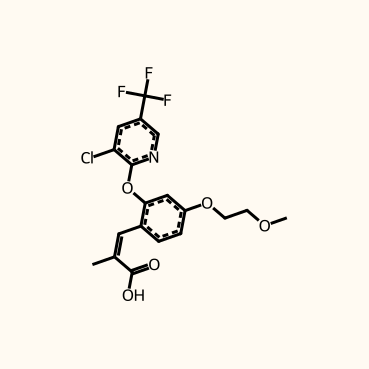 COCCOc1ccc(C=C(C)C(=O)O)c(Oc2ncc(C(F)(F)F)cc2Cl)c1